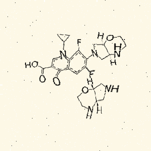 C1CO[C@@H]2CNC[C@@H]2N1.O=C(O)c1cn(C2CC2)c2c(F)c(N3C[C@@H]4NCCO[C@@H]4C3)c(F)cc2c1=O